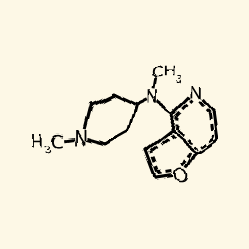 CN1CCC(N(C)c2nccc3occc23)CC1